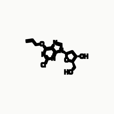 C=CCOc1nc(Cl)nc2c1ncn2[C@H]1C[C@H](O)[C@@H](CO)O1